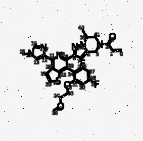 C=CC(=O)N1Cc2cc(-c3nc(-c4cn(C)cn4)c4ccsc4c3-c3c(F)cc(F)cc3OCCOC)nn2C(C)C1